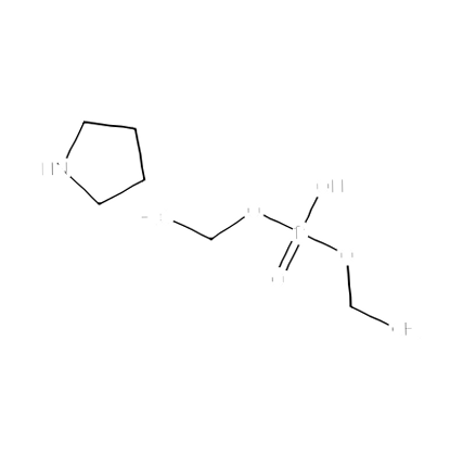 C1CCNC1.O=P(O)(OCC(F)(F)F)OCC(F)(F)F